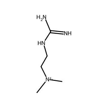 C[N+](C)CCNC(=N)N